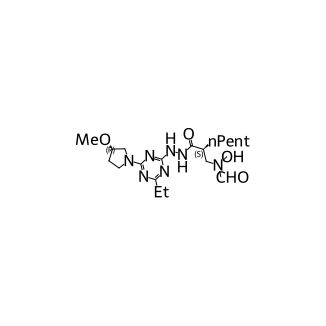 CCCCC[C@@H](CN(O)C=O)C(=O)NNc1nc(CC)nc(N2CC[C@@H](OC)C2)n1